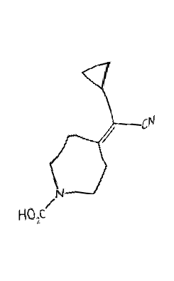 N#CC(=C1CCN(C(=O)O)CC1)C1CC1